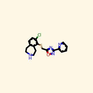 Clc1ccc2c(c1SCc1nc(-c3ccccn3)no1)CCNCC2